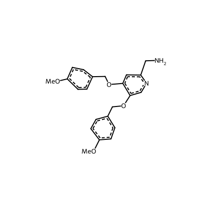 COc1ccc(COc2cnc(CN)cc2OCc2ccc(OC)cc2)cc1